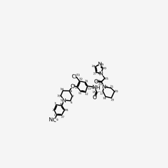 N#Cc1ccc(N2CCC(Oc3ccc(NC(=O)[C@H]4CCCCN4C(=O)Cn4ccnc4)cc3Cl)CC2)cc1